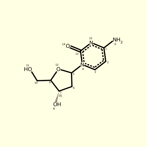 Nc1ccn(C2C[C@H](O)C(CO)O2)c(=O)n1